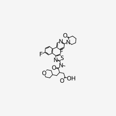 CN(C(=O)C(CC(=O)O)CC1CCOCC1)c1nc(-c2cc(F)ccc2-c2ccc(N3CCCCC3=O)nc2)c(F)s1